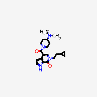 CN(C)C1CCN(C(=O)c2cn(CCC3CC3)c(=O)c3[nH]ccc23)CC1